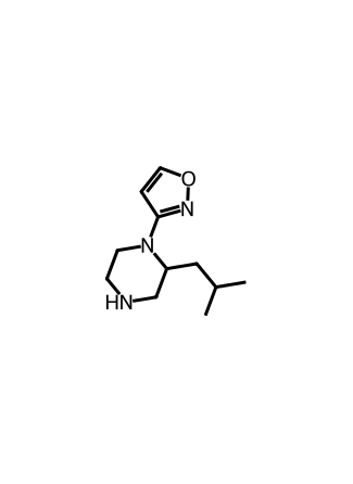 CC(C)CC1CNCCN1c1ccon1